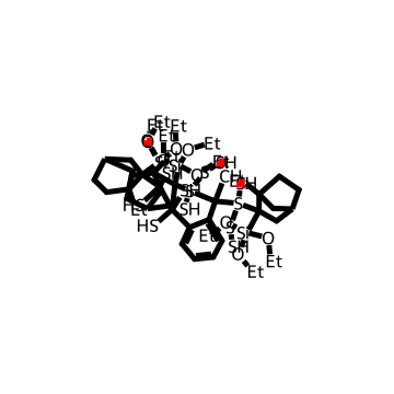 CCO[Si](OCC)(OCC)C1(C(S)(S)C(S)(S)c2ccccc2C(C)(S(S)(SS)C2([Si](OCC)(OCC)OCC)CC3CCC2(CC)C3)S(S)(SS)C2([Si](OCC)(OCC)OCC)CC3CCC2(CC)C3)CC2CCC1(CC)C2